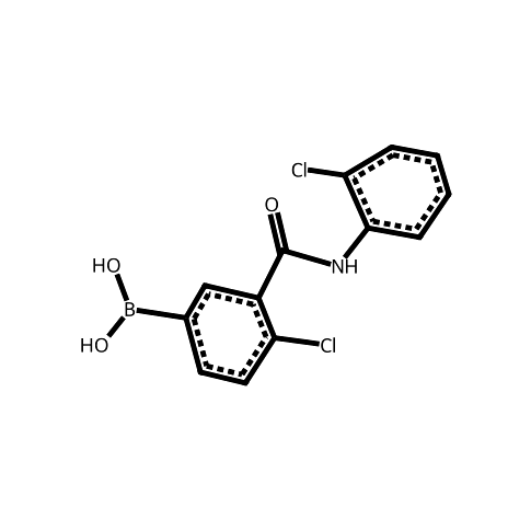 O=C(Nc1ccccc1Cl)c1cc(B(O)O)ccc1Cl